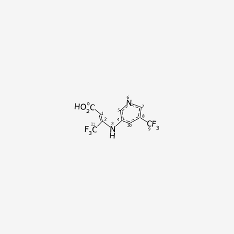 O=C(O)C=C(Nc1cncc(C(F)(F)F)c1)C(F)(F)F